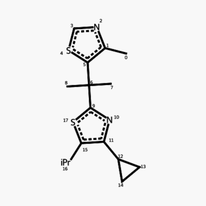 Cc1ncsc1C(C)(C)c1nc(C2CC2)c(C(C)C)s1